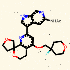 CC(=O)Nc1cc2c(-c3cc(OCC4(F)CCOCC4)c4c(n3)C3(CCOC3)OCC4)c[nH]c2cn1